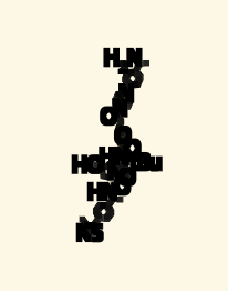 Cc1ncsc1-c1ccc([C@H](C)NC(=O)[C@@H]2C[C@@H](O)CN2C(=O)[C@@H](NC(=O)COCCC(=O)N2CCN(c3ccc([C@H](C)N)cc3)CC2)C(C)(C)C)cc1